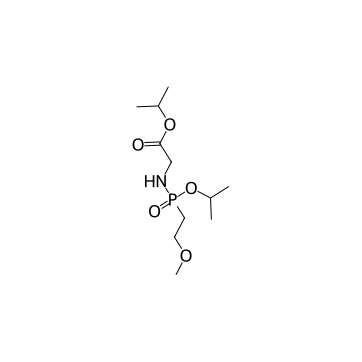 COCCP(=O)(NCC(=O)OC(C)C)OC(C)C